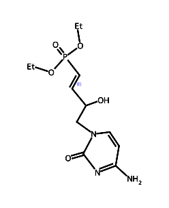 CCOP(=O)(/C=C/C(O)Cn1ccc(N)nc1=O)OCC